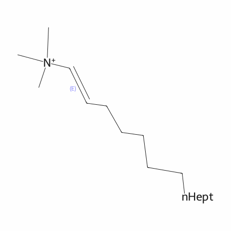 CCCCCCCCCCCC/C=C/[N+](C)(C)C